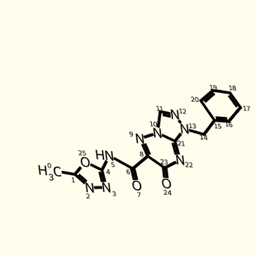 Cc1nnc(NC(=O)c2nn3cnn(Cc4ccccc4)c3nc2=O)o1